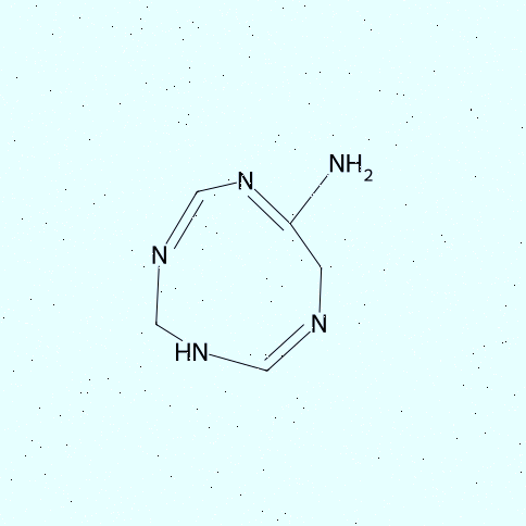 N/C1=N/C=N\CN/C=N\C1